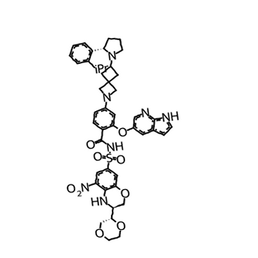 CC(C)c1ccccc1[C@@H]1CCCN1C1CC2(C1)CN(c1ccc(C(=O)NS(=O)(=O)c3cc4c(c([N+](=O)[O-])c3)N[C@H]([C@H]3COCCO3)CO4)c(Oc3cnc4[nH]ccc4c3)c1)C2